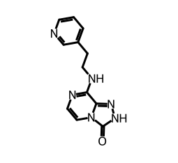 O=c1[nH]nc2c(NCCc3cccnc3)nccn12